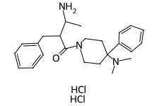 CC(N)C(Cc1ccccc1)C(=O)N1CCC(c2ccccc2)(N(C)C)CC1.Cl.Cl